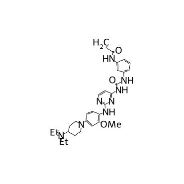 C=CC(=O)Nc1cccc(NC(=O)Nc2ccnc(Nc3ccc(N4CCC(N(CC)CC)CC4)cc3OC)n2)c1